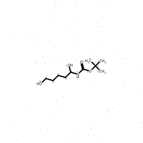 CC(C)(C)OC(=O)NC(O)CCCCO